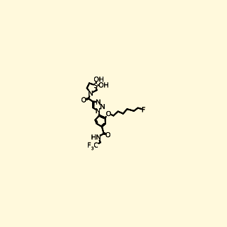 O=C(NCC(F)(F)F)c1ccc(-n2cc(C(=O)N3CCS(O)(O)C3)nn2)c(OCCCCCCF)c1